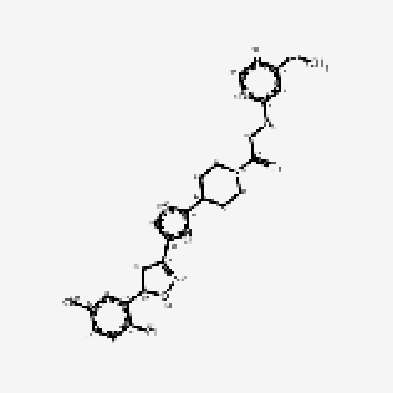 COc1cc(OCC(=O)N2CCC(c3nc(C4=NOC(c5cc(Cl)ccc5Cl)C4)cs3)CC2)ncn1